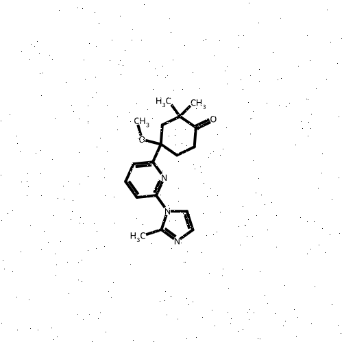 COC1(c2cccc(-n3ccnc3C)n2)CCC(=O)C(C)(C)C1